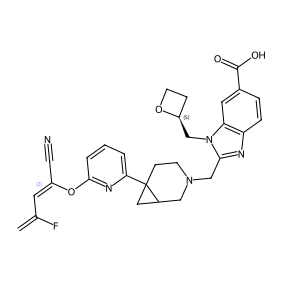 C=C(F)/C=C(/C#N)Oc1cccc(C23CCN(Cc4nc5ccc(C(=O)O)cc5n4C[C@@H]4CCO4)CC2C3)n1